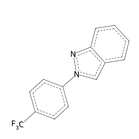 FC(F)(F)c1ccc(-n2cc3ccccc3n2)cc1